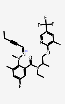 CCC#C/C=N\N(C)c1c(C)cc(F)cc1C(=O)N(CC)C(C)COc1ncc(C(F)(F)F)cc1F